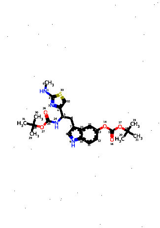 CNc1nc(C(Cc2c[nH]c3ccc(OC(=O)OC(C)(C)C)cc23)NC(=O)OC(C)(C)C)cs1